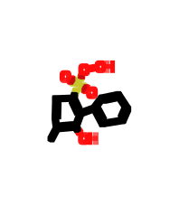 Cc1ccc(S(=O)(=O)OO)c(-c2ccccc2)c1O